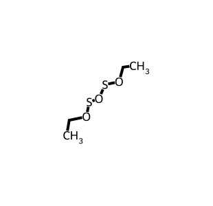 CCOSOSOCC